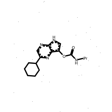 CC(C)NC(=O)Oc1c[nH]c2ncc(C3CCCCC3)nc12